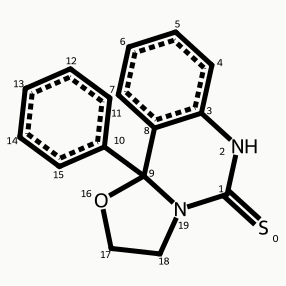 S=C1Nc2ccccc2C2(c3ccccc3)OCCN12